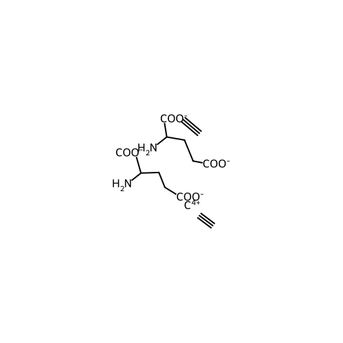 C#C.C#C.NC(CCC(=O)[O-])C(=O)[O-].NC(CCC(=O)[O-])C(=O)[O-].[C+4]